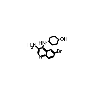 Nc1cnc2ccc(Br)cc2c1N[C@H]1CC[C@@H](O)CC1